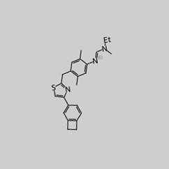 CCN(C)/C=N/c1cc(C)c(Cc2nc(-c3ccc4c(c3)CC4)cs2)cc1C